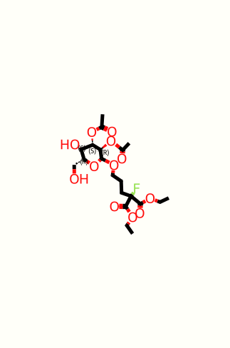 CCOC(=O)C(F)(CCCOC1O[C@H](CO)[C@H](O)[C@H](OC(C)=O)[C@H]1OC(C)=O)C(=O)OCC